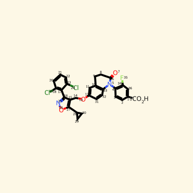 O=C(O)c1ccc(N2C(=O)CCc3cc(OCc4c(-c5c(Cl)cccc5Cl)noc4C4CC4)ccc32)c(F)c1